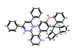 C1=C(c2ccccc2)NC(c2cccnc2-c2ccc3c(c2)C2(c4ccccc4O3)c3ccccc3-c3ccccc32)N=C1c1ccccc1